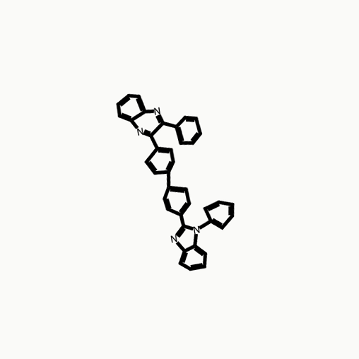 c1ccc(-c2nc3ccccc3nc2-c2ccc(-c3ccc(-c4nc5ccccc5n4-c4ccccc4)cc3)cc2)cc1